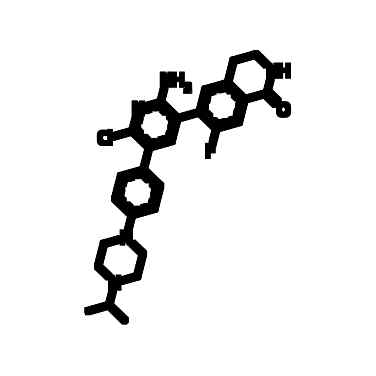 CC(C)N1CCN(c2ccc(-c3cc(-c4cc5c(cc4F)C(=O)NCC5)c(N)nc3Cl)cc2)CC1